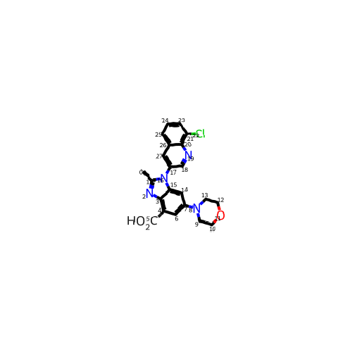 Cc1nc2c(C(=O)O)cc(N3CCOCC3)cc2n1-c1cnc2c(Cl)cccc2c1